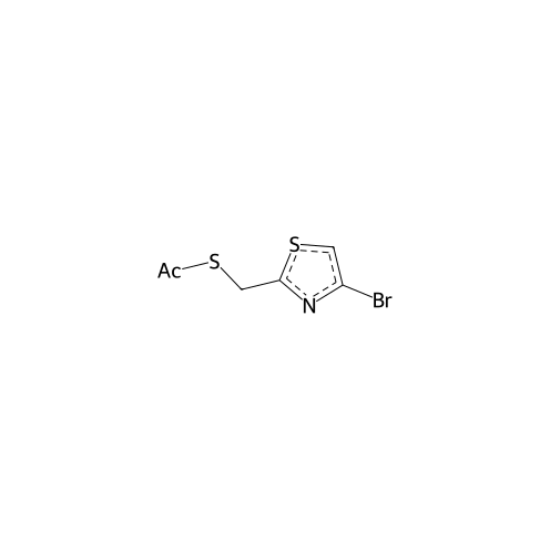 CC(=O)SCc1nc(Br)cs1